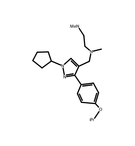 CNCCN(C)Cc1cn(C2CCCC2)nc1-c1ccc(OC(C)C)cc1